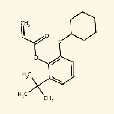 C=CC(=O)Oc1c(SC2CCCCC2)cccc1C(C)(C)C